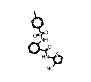 Cc1ccc(S(=O)(=O)Nc2ccccc2C(=O)Nc2sccc2C#N)cc1